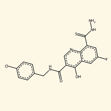 NNC(=S)c1cc(F)cc2c(O)c(C(=O)NCc3ccc(Cl)cc3)cnc12